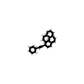 C(#Cc1ccc2ccc3cccc4ccc1c2c34)c1cc[c]cc1